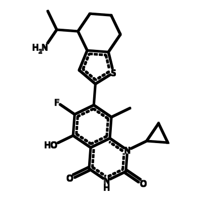 Cc1c(-c2cc3c(s2)CCCC3C(C)N)c(F)c(O)c2c(=O)[nH]c(=O)n(C3CC3)c12